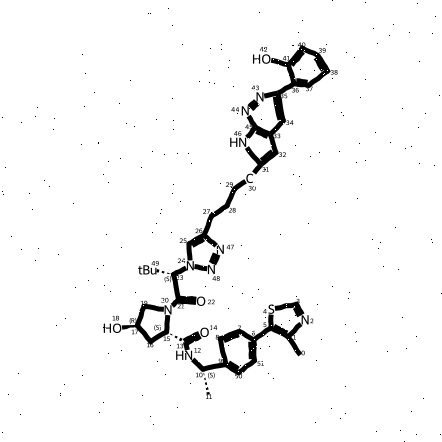 Cc1ncsc1-c1ccc([C@H](C)NC(=O)[C@@H]2C[C@@H](O)CN2C(=O)[C@@H](n2cc(CCCCc3cc4cc(-c5ccccc5O)nnc4[nH]3)nn2)C(C)(C)C)cc1